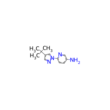 CC(C)(C)c1cnn(-c2ccc(N)cn2)c1